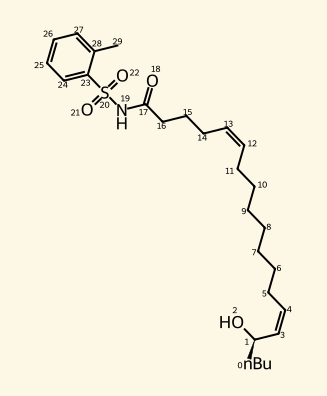 CCCC[C@@H](O)/C=C\CCCCCCC/C=C\CCCC(=O)NS(=O)(=O)c1ccccc1C